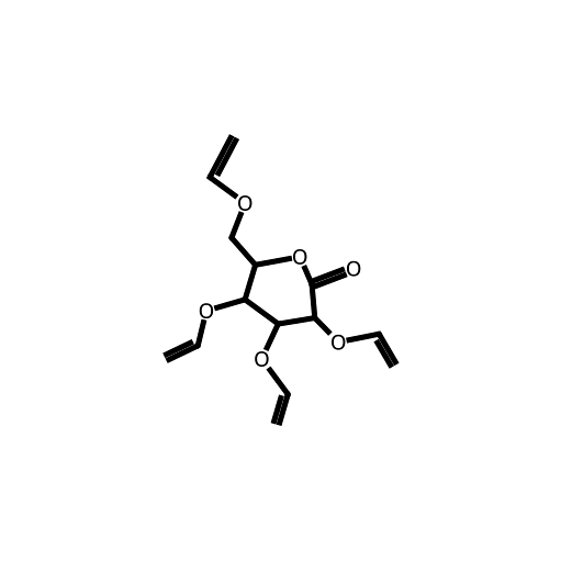 C=COCC1OC(=O)C(OC=C)C(OC=C)C1OC=C